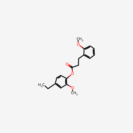 CCc1ccc(OC(=O)CCc2ccccc2OC)c(OC)c1